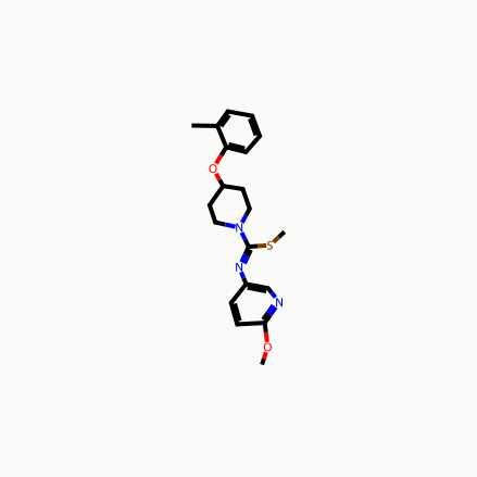 COc1ccc(/N=C(\SC)N2CCC(Oc3ccccc3C)CC2)cn1